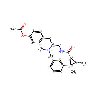 CC(=O)Oc1ccc(C[C@@H](CNC(=O)[C@@H]2[C@H](C)[C@@]2(C)c2ccccc2)N(C)C)cc1